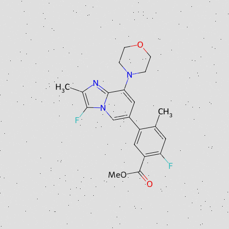 COC(=O)c1cc(-c2cc(N3CCOCC3)c3nc(C)c(F)n3c2)c(C)cc1F